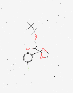 CC(C)(C)[Si](C)(C)OCCC(O)C1(c2cccc(F)c2)OCCO1